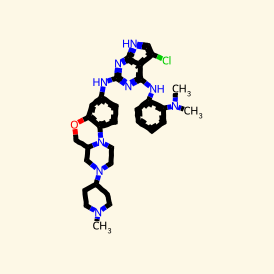 CN1CCC(N2CCN3c4ccc(Nc5nc(Nc6ccccc6N(C)C)c6c(Cl)c[nH]c6n5)cc4OCC3C2)CC1